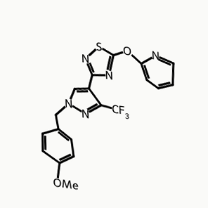 COc1ccc(Cn2cc(-c3nsc(Oc4ccccn4)n3)c(C(F)(F)F)n2)cc1